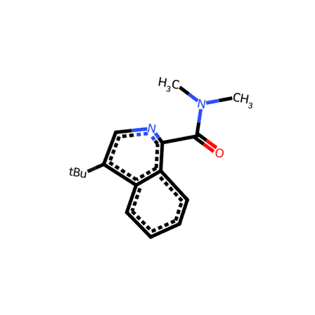 CN(C)C(=O)c1ncc(C(C)(C)C)c2ccccc12